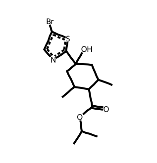 CC(C)OC(=O)C1C(C)CC(O)(c2ncc(Br)s2)CC1C